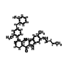 C=CCSNc1cc2[nH]c(C(=O)C3=C(N)N(c4ccc(Cc5ccccc5F)cc4C)N=CC3)cc2cc1C